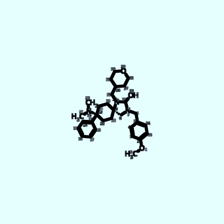 COc1ccc(CN2C[C@]3(CC[C@](c4ccccc4)(N(C)C)CC3)N(CC3CCOCC3)C2O)cc1